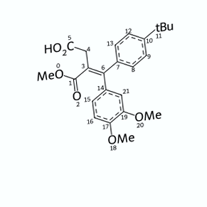 COC(=O)/C(CC(=O)O)=C(/c1ccc(C(C)(C)C)cc1)c1ccc(OC)c(OC)c1